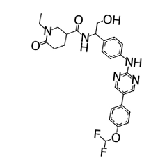 CCN1CC(C(=O)NC(CO)c2ccc(Nc3ncc(-c4ccc(OC(F)F)cc4)cn3)cc2)CCC1=O